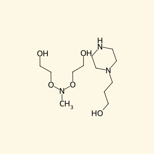 CN(OCCO)OCCO.OCCCN1CCNCC1